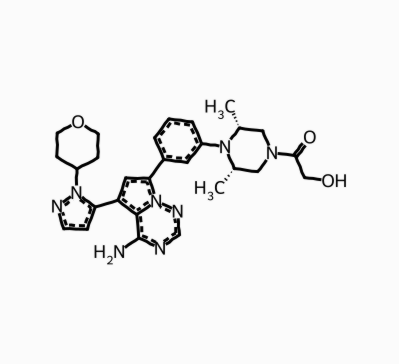 C[C@@H]1CN(C(=O)CO)C[C@H](C)N1c1cccc(-c2cc(-c3ccnn3C3CCOCC3)c3c(N)ncnn23)c1